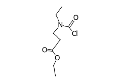 CCOC(=O)CCN(CC)C(=O)Cl